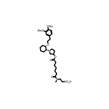 COc1ccc(CCO[C@H]2CCCC[C@@H]2N2CCC(OC(=O)CCCCCC(=O)N(C)CCS(=O)(=O)O)C2)cc1OC